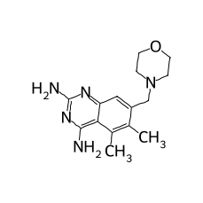 Cc1c(CN2CCOCC2)cc2nc(N)nc(N)c2c1C